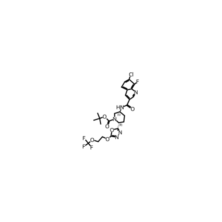 CC(C)(C)OC(=O)N1C[C@@H](NC(=O)c2cnc3c(F)c(Cl)ccc3c2)CC[C@@H]1c1nnc(OCCOC(F)(F)F)o1